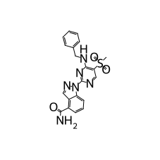 CS(=O)(=O)c1cnc(-n2ncc3c(C(N)=O)cccc32)nc1NCc1ccccc1